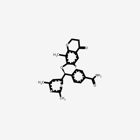 Cc1cc([C@@H](Oc2c(F)cc3c(c2C)OCCC3=O)c2ccc(C(N)=O)cc2)cc(C)n1